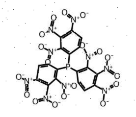 O=[N+]([O-])c1ccc(P(c2ccc([N+](=O)[O-])c([N+](=O)[O-])c2[N+](=O)[O-])c2ccc([N+](=O)[O-])c([N+](=O)[O-])c2[N+](=O)[O-])c([N+](=O)[O-])c1[N+](=O)[O-]